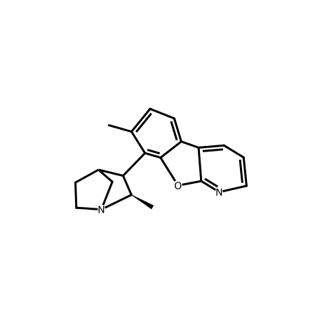 Cc1ccc2c(oc3ncccc32)c1C1C2CCN(C2)[C@@H]1C